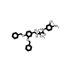 CC(C)(NCc1ccc(OCc2ccccc2)c(OCc2ccccc2)c1)C(=O)Nc1ccc(N)c(C(F)(F)F)c1